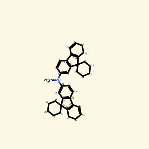 CN(c1ccc2c(c1)C1(CCCCC1)C1=C2C=CCC1)c1ccc2c(c1)C1(CCCCC1)C1=C2C=CCC1